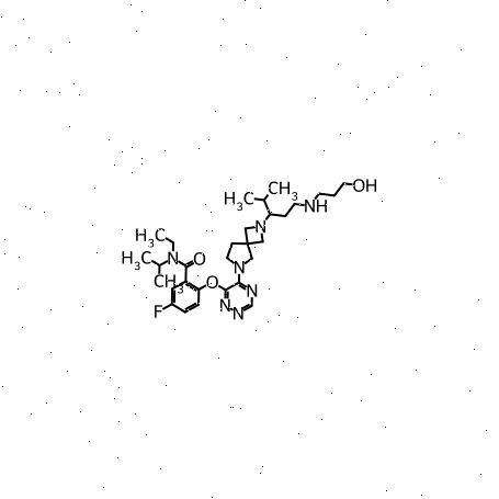 CCN(C(=O)c1cc(F)ccc1Oc1nncnc1N1CCC2(C1)CN(C(CCNCCCO)C(C)C)C2)C(C)C